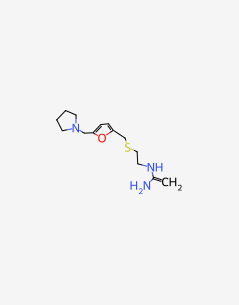 C=C(N)NCCSCc1ccc(CN2CCCC2)o1